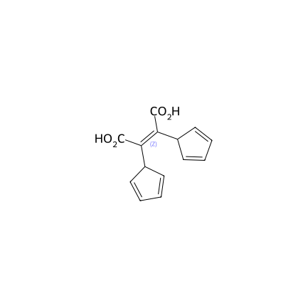 O=C(O)/C(=C(\C(=O)O)C1C=CC=C1)C1C=CC=C1